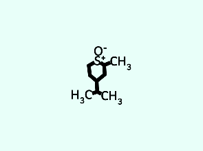 CC(C)C1CC[S+]([O-])C(C)C1